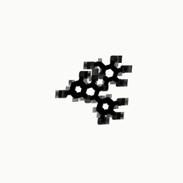 OCC1OC(OC2C(O)c3c(O)cc(O)cc3OC2c2cc(O)c(O)c(O)c2)C(O)C(O)C1O